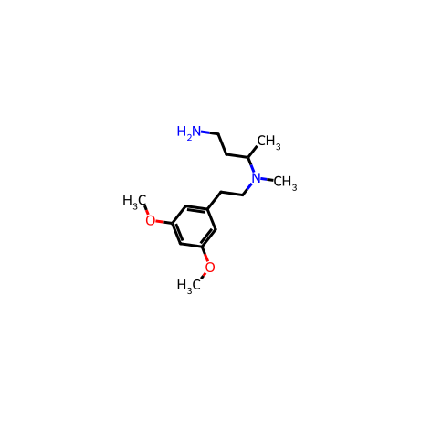 COc1cc(CCN(C)C(C)CCN)cc(OC)c1